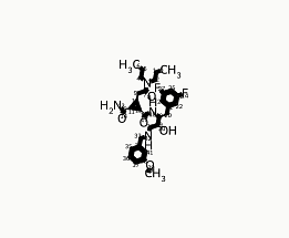 CCCN(CCC)C(=O)C[C@@H]1[C@@H](C(N)=O)[C@H]1C(=O)N[C@@H](Cc1cc(F)cc(F)c1)[C@H](O)CNCc1cccc(OC)c1